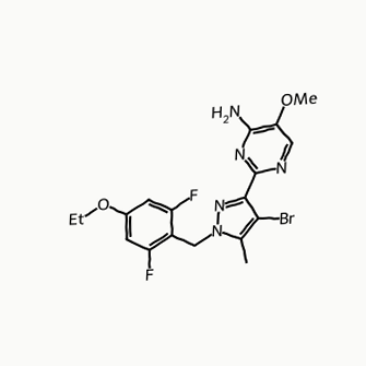 CCOc1cc(F)c(Cn2nc(-c3ncc(OC)c(N)n3)c(Br)c2C)c(F)c1